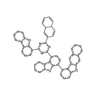 C1=CC2C=CC(c3nc(-c4cccc5c4oc4ccccc45)nc(-c4ccc(-c5cccc6oc7cc8ccccc8cc7c56)c5oc6ccccc6c45)n3)=CC2C=C1